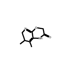 CC1=C2NC(=O)COC2=NCC1C